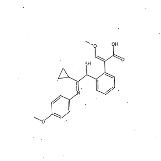 COC=C(C(=O)O)c1ccccc1C(S)C(=Nc1ccc(OC)cc1)C1CC1